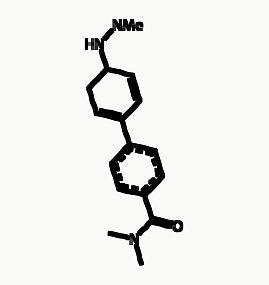 CNNC1C=CC(c2ccc(C(=O)N(C)C)cc2)=CC1